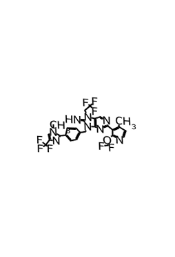 Cc1ccnc(OC(F)F)c1-c1ncc2c(n1)n(Cc1ccc(-c3nc(C(F)(F)F)cn3C)cc1)c(=N)n2CC(F)(F)F